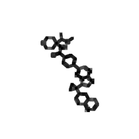 COC(C)C1(NC(=O)c2ccc(-c3cnc4ncc(C5(c6ccc7ncccc7c6)CC5)n4n3)cc2)CCOCC1